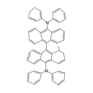 CC1CC=Cc2c1c(-c1c3ccccc3c(N(C3=CCCC=C3)c3ccccc3)c3ccccc13)c1ccccc1c2N(c1ccccc1)c1ccccc1